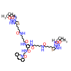 CC(C)(C)OC(=O)/N=C1/NC2CSC(CCCCC(=O)NCCCCCC(=O)Nc3cc(NC(=O)CCCCCNC(=O)CCCCC4SCC5N/C(=N\C(=O)OC(C)(C)C)NC54)cc(C(=O)NCCC(=O)N4Cc5ccccc5C#Cc5ccccc54)c3)C2N1